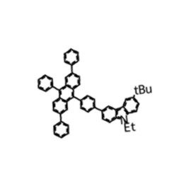 CCn1c2ccc(-c3ccc(-c4c5ccc(-c6ccccc6)cc5c(-c5ccccc5)c5ccc(-c6ccccc6)cc45)cc3)cc2c2cc(C(C)(C)C)ccc21